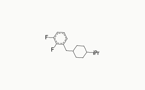 CC(C)C1CCC(Cc2cccc(F)c2F)CC1